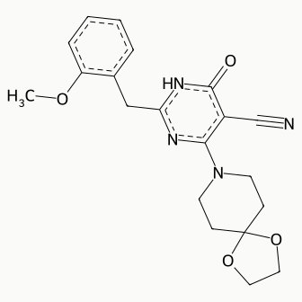 COc1ccccc1Cc1nc(N2CCC3(CC2)OCCO3)c(C#N)c(=O)[nH]1